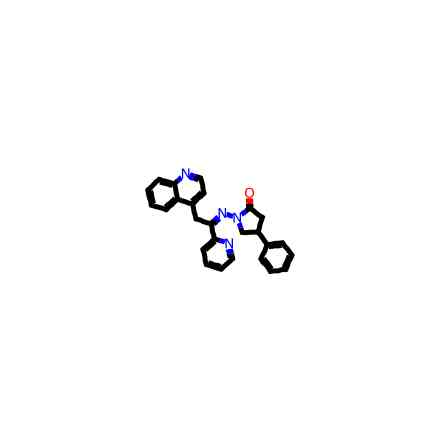 O=C1CC(c2ccccc2)CN1N=C(Cc1ccnc2ccccc12)c1ccccn1